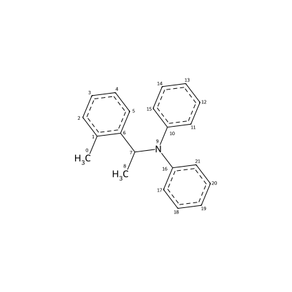 Cc1ccccc1C(C)N(c1ccccc1)c1ccccc1